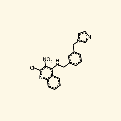 O=[N+]([O-])c1c(Cl)nc2ccccc2c1NCc1cccc(Cn2ccnc2)c1